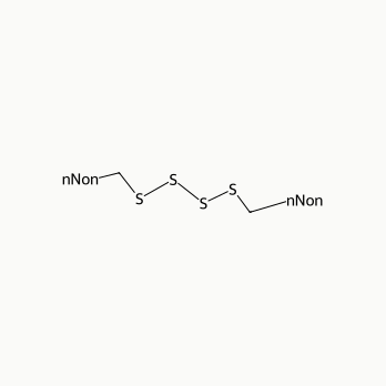 CCCCCCCCCCSSSSCCCCCCCCCC